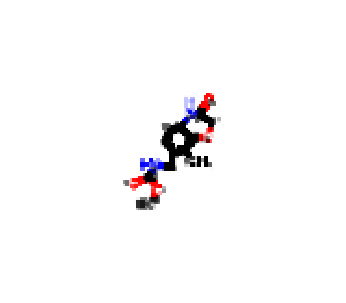 Cc1c(CNC(=O)OC(C)(C)C)ccc2c1OCC(=O)N2